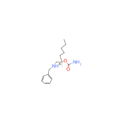 CCCCC[C@](C)(CNCc1ccccc1)OC(N)=O